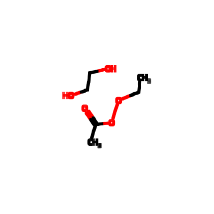 CCOOC(C)=O.OCCO